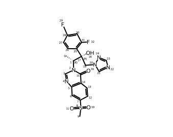 C[C@@H](n1cnc2cc(S(C)(=O)=O)ccc2c1=O)[C@](O)(Cn1cncn1)c1ccc(F)cc1F